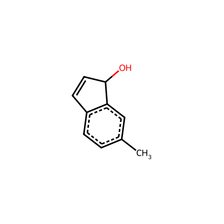 Cc1ccc2c(c1)C(O)C=C2